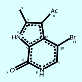 CC(=O)c1c(C)[nH]c2c(=O)[nH]cc(Br)c12